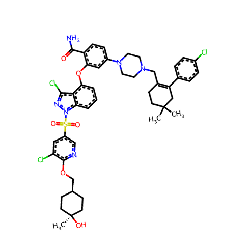 CC1(C)CCC(CN2CCN(c3ccc(C(N)=O)c(Oc4cccc5c4c(Cl)nn5S(=O)(=O)c4cnc(OC[C@H]5CC[C@@](C)(O)CC5)c(Cl)c4)c3)CC2)=C(c2ccc(Cl)cc2)C1